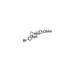 COc1ccc(CNC2CCCc3c2[nH]c2ccc(Br)cc32)cc1